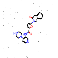 O=C(Nc1cnccc1N1CCNCC1)c1ccc(N2Cc3ccccc3CC2=O)o1